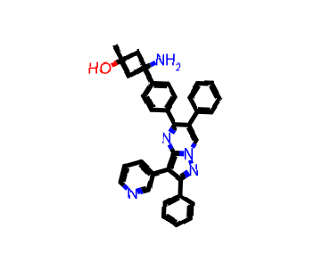 CC1(O)CC(N)(c2ccc(-c3nc4c(-c5cccnc5)c(-c5ccccc5)nn4cc3-c3ccccc3)cc2)C1